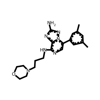 Cc1cc(C)cc(-c2cnc(NCCCN3CCOCC3)c3nc(N)nn23)c1